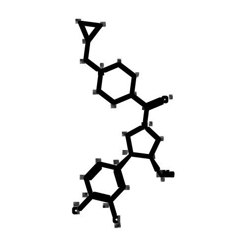 CN[C@@H]1CN(C(=O)C2CCN(CC3CC3)CC2)C[C@@H]1c1ccc(Cl)c(Cl)c1